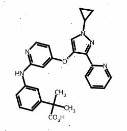 CC(C)(C(=O)O)c1cccc(Nc2cc(Oc3cn(C4CC4)nc3-c3ccccn3)ccn2)c1